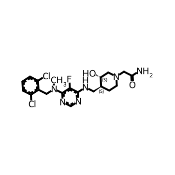 CN(Cc1c(Cl)cccc1Cl)c1ncnc(NC[C@@H]2CCN(CC(N)=O)C[C@H]2O)c1F